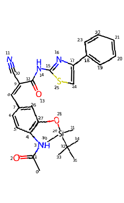 CC(=O)Nc1ccc(C=C(C#N)C(=O)Nc2nc(-c3ccccc3)cs2)cc1O[Si](C)(C)C(C)(C)C